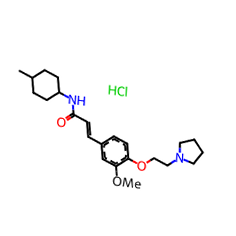 COc1cc(C=CC(=O)NC2CCC(C)CC2)ccc1OCCN1CCCC1.Cl